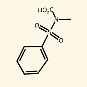 CN(C(=O)O)S(=O)(=O)c1ccccc1